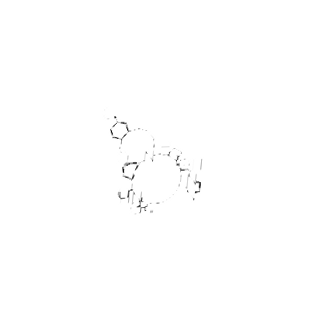 C[C@@H]1[C@@H](C)CCC[C@](O)(Cn2ccnc2)[C@@H]2CC[C@H]2CN2CCCCc3cc(Cl)ccc3COc3ccc(cc32)C(=O)NS1(=O)=O